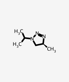 CC(C)N1C[C@H](C)N=N1